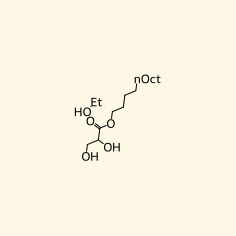 CCCCCCCCCCCCOC(=O)C(O)CO.CCO